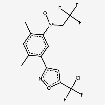 Cc1cc(C)c([S+]([O-])CC(F)(F)F)cc1-c1cc(C(F)(F)Cl)on1